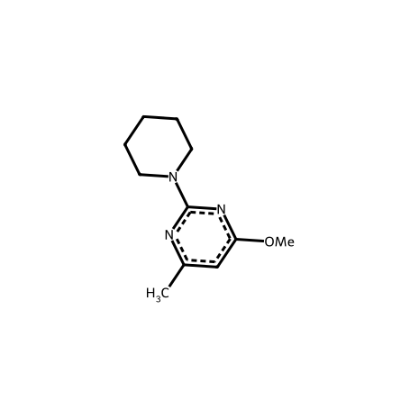 COc1cc(C)nc(N2CCCCC2)n1